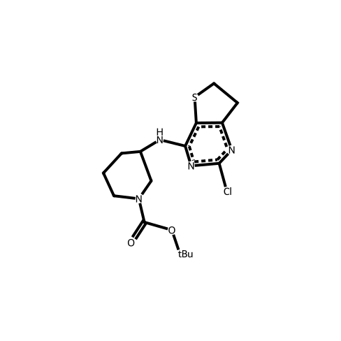 CC(C)(C)OC(=O)N1CCCC(Nc2nc(Cl)nc3c2SCC3)C1